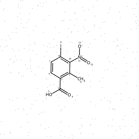 Cc1c(C(=O)O)ccc(I)c1[N+](=O)[O-]